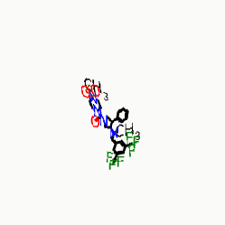 CN(Cc1cc(C(F)(F)F)cc(C(F)(F)F)c1)C1CN(C(=O)N2CCN(S(C)(=O)=O)CC2)CC1c1ccccc1